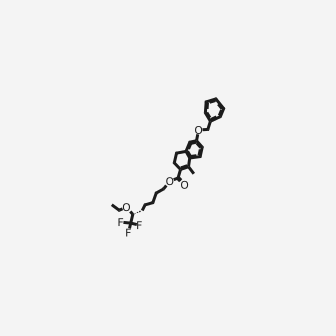 CCO[C@H](CCCCCOC(=O)C1=C(C)c2ccc(OCc3ccccc3)cc2CC1)C(F)(F)F